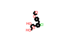 OCC1CC(O)CC(c2ccc(Cl)c(Cc3ccc(O[C@H]4CCOC4)cc3)c2)O1